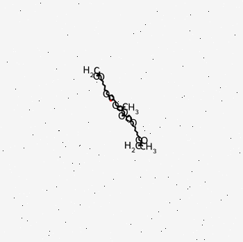 C=CC(=O)OCCCCCCOc1ccc(COc2ccc(OC(=O)c3ccc(OCCCCCCOC(=O)C(=C)C)cc3)c(C)c2)cc1